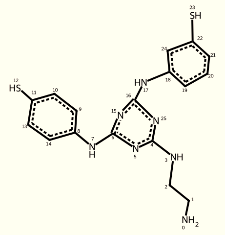 NCCNc1nc(Nc2ccc(S)cc2)nc(Nc2cccc(S)c2)n1